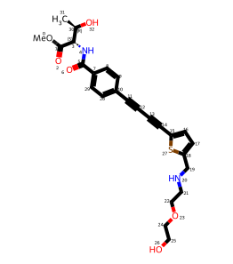 COC(=O)[C@@H](NC(=O)c1ccc(C#CC#Cc2ccc(CNCCOCCO)s2)cc1)[C@@H](C)O